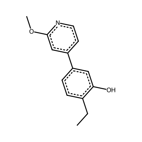 CCc1ccc(-c2ccnc(OC)c2)cc1O